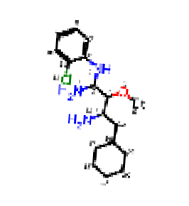 CCOC(C(N)Nc1ccccc1Cl)[C@H](N)CC1CCCCC1